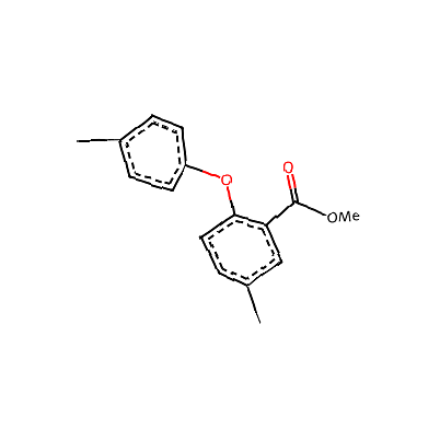 COC(=O)c1cc(C)ccc1Oc1ccc(C)cc1